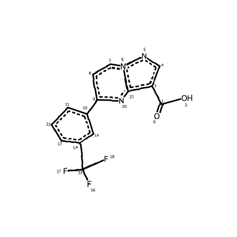 O=C(O)c1cnn2ccc(-c3cccc(C(F)(F)F)c3)nc12